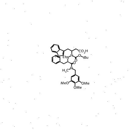 CCN(C(Cc1ccccc1)C(=O)N(C)Cc1cc(OC)c(OC)c(OC)c1)N(C(=O)OC(C)(C)C)C(CC(=O)O)Cc1c[nH]c2ccccc12